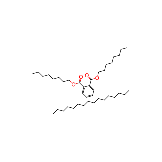 CCCCCCCCCCCCCCCC.CCCCCCCCOC(=O)c1ccccc1C(=O)OCCCCCCCC